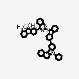 CC1(C)c2ccccc2-c2ccc(-c3nc(-n4c5ccccc5c5cc(-c6ccc7c(c6)c6c8ccccc8ccc6n7-c6ccccc6)ccc54)nc4ccccc34)cc21